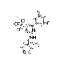 NC1(CNc2nc(-c3cc(F)cc(F)c3)nc(C(Cl)(Cl)Cl)n2)CCOCC1